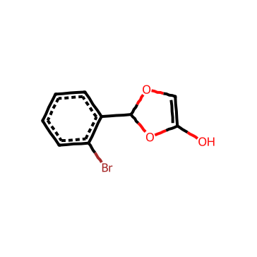 OC1=COC(c2ccccc2Br)O1